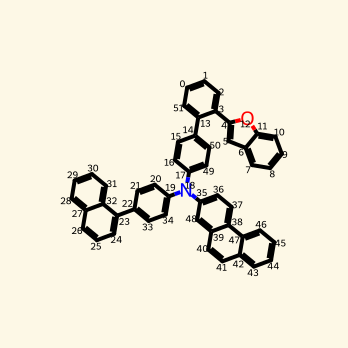 c1ccc(-c2cc3ccccc3o2)c(-c2ccc(N(c3ccc(-c4cccc5ccccc45)cc3)c3ccc4c(ccc5ccccc54)c3)cc2)c1